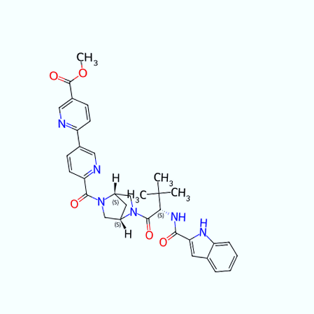 COC(=O)c1ccc(-c2ccc(C(=O)N3C[C@@H]4C[C@H]3CN4C(=O)[C@@H](NC(=O)c3cc4ccccc4[nH]3)C(C)(C)C)nc2)nc1